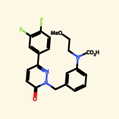 COCCN(C(=O)O)c1cccc(Cn2nc(-c3ccc(F)c(F)c3)ccc2=O)c1